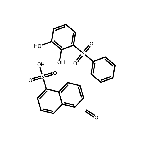 C=O.O=S(=O)(O)c1cccc2ccccc12.O=S(=O)(c1ccccc1)c1cccc(O)c1O